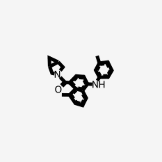 Cc1cccc(Nc2ccc(C(=O)N3CC4CC4C3)c3c(C)cccc23)c1